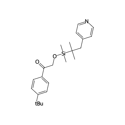 CC(C)(C)c1ccc(C(=O)CO[Si](C)(C)C(C)(C)Cc2ccncc2)cc1